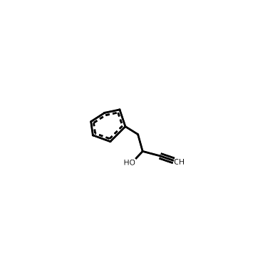 C#CC(O)Cc1ccccc1